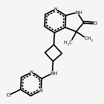 CC1(C)C(=O)Nc2nccc(C3CC(Nc4ncc(Cl)cn4)C3)c21